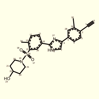 C#Cc1ccc(-c2c[nH]c(-c3ccc(C)c(S(=O)(=O)N4CCC(O)CC4)c3)n2)cc1C